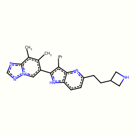 Cc1c(-c2[nH]c3ccc(CCC4CNC4)nc3c2C(C)C)cn2ncnc2c1C